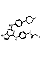 CN1CCN(c2ccc(Nc3nc(Nc4ccc(NC(=O)CCl)cc4)c4cc[nH]c4n3)cc2)CC1